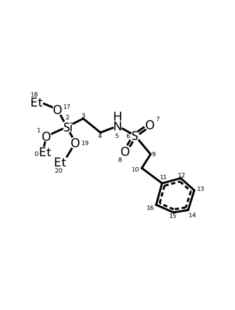 CCO[Si](CCNS(=O)(=O)CCc1ccccc1)(OCC)OCC